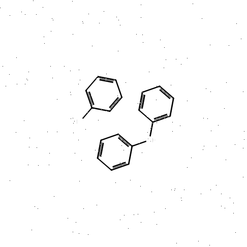 Sc1ccccc1.c1ccc(Nc2ccccc2)cc1